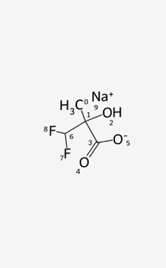 CC(O)(C(=O)[O-])C(F)F.[Na+]